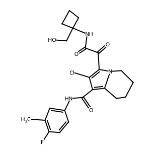 Cc1cc(NC(=O)c2c(Cl)c(C(=O)C(=O)NC3(CO)CCC3)n3c2CCCC3)ccc1F